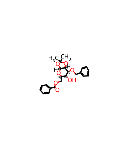 CC1(C)O[C@H]2O[C@H](COC(=O)c3ccccc3)[C@@H](O)[C@H](OCc3ccccc3)[C@H]2O1